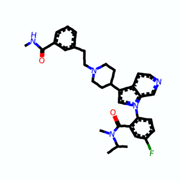 CNC(=O)c1cccc(CCN2CCC(c3cn(-c4ccc(F)cc4C(=O)N(C)C(C)C)c4cnccc34)CC2)c1